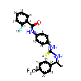 CC(NC(=S)Nc1ccc(NC(=O)c2ccccc2F)cc1)c1ccc(C(F)(F)F)cc1